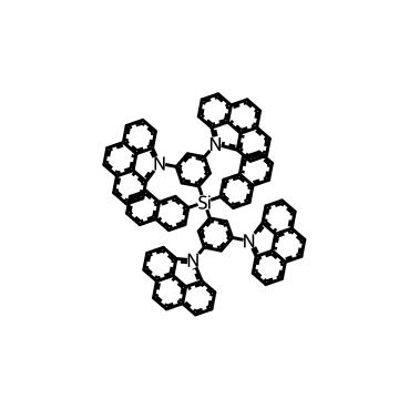 c1ccc2cc([Si](c3cc(-n4c5cccc6ccc7cccc4c7c65)cc(-n4c5cccc6ccc7cccc4c7c65)c3)(c3cc(-n4c5cccc6ccc7cccc4c7c65)cc(-n4c5cccc6ccc7cccc4c7c65)c3)c3ccc4ccccc4c3)ccc2c1